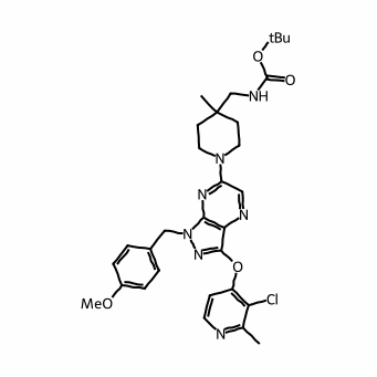 COc1ccc(Cn2nc(Oc3ccnc(C)c3Cl)c3ncc(N4CCC(C)(CNC(=O)OC(C)(C)C)CC4)nc32)cc1